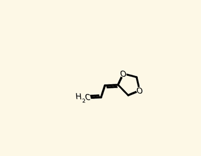 C=C/C=C1\COCO1